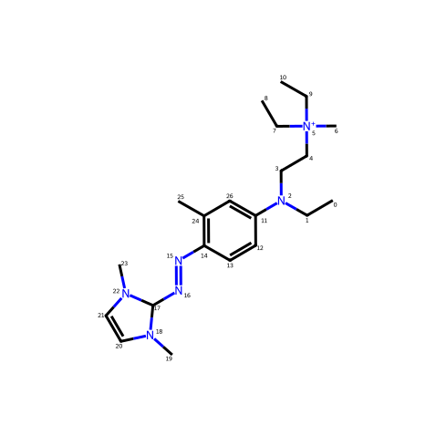 CCN(CC[N+](C)(CC)CC)c1ccc(N=NC2N(C)C=CN2C)c(C)c1